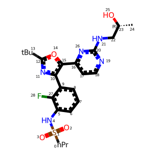 CCCS(=O)(=O)Nc1cccc(-c2nc(C(C)(C)C)oc2-c2ccnc(NC[C@@H](C)O)n2)c1F